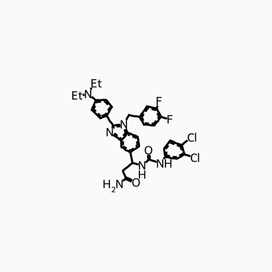 [CH2]CN(C[CH2])c1ccc(-c2nc3cc(C(CC(N)=O)NC(=O)Nc4ccc(Cl)c(Cl)c4)ccc3n2Cc2ccc(F)c(F)c2)cc1